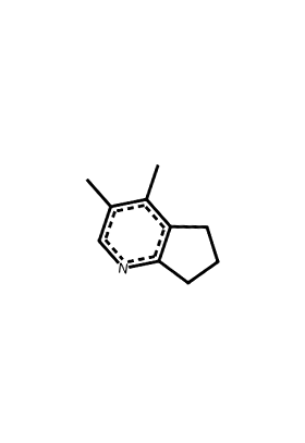 Cc1cnc2c(c1C)CCC2